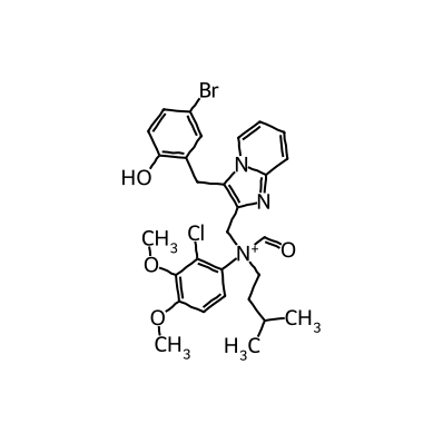 COc1ccc([N+](C=O)(CCC(C)C)Cc2nc3ccccn3c2Cc2cc(Br)ccc2O)c(Cl)c1OC